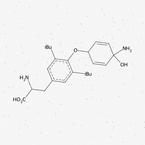 CCC(C)c1cc(CC(N)C(=O)O)cc(C(C)CC)c1OC1C=CC(N)(O)C=C1